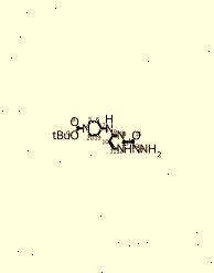 CC(C)(C)OC(=O)N1CCC(Nc2ccnc(C(=O)NN)n2)CC1